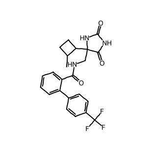 CC1CCC1C1(CNC(=O)c2ccccc2-c2ccc(C(F)(F)F)cc2)NC(=O)NC1=O